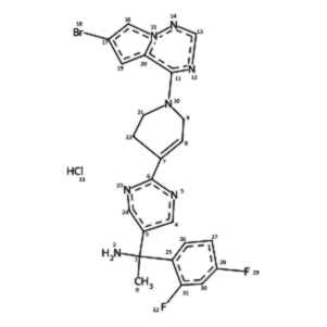 CC(N)(c1cnc(C2=CCN(c3ncnn4cc(Br)cc34)CC2)nc1)c1ccc(F)cc1F.Cl